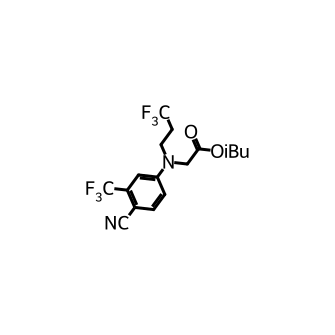 CC(C)COC(=O)CN(CCC(F)(F)F)c1ccc(C#N)c(C(F)(F)F)c1